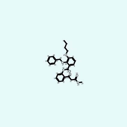 CCCCOc1cccc(C(=O)Oc2ccccc2C(=O)CC(=O)OC)c1OCc1ccccc1